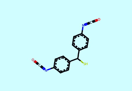 O=C=Nc1ccc(C(S)c2ccc(N=C=O)cc2)cc1